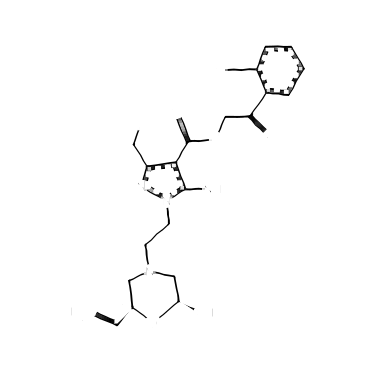 C=C[C@H]1CN(CCn2nc(CC)c(C(=O)OCC(=O)c3ccccc3Cl)c2N)C[C@@H](C)O1